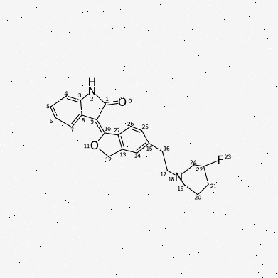 O=C1Nc2ccccc2C1=C1OCc2cc(CCN3CCCC(F)C3)ccc21